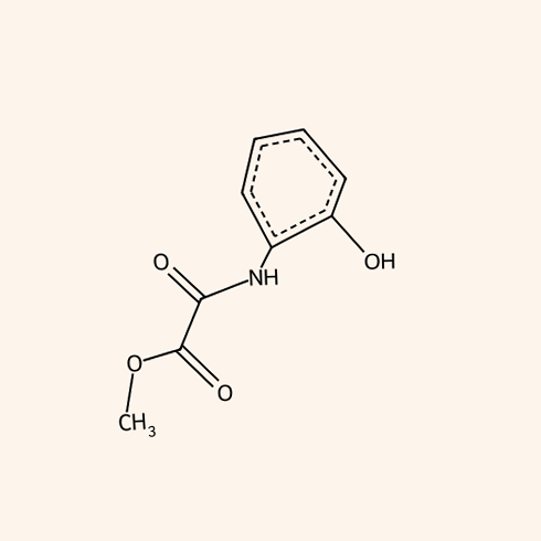 COC(=O)C(=O)Nc1ccccc1O